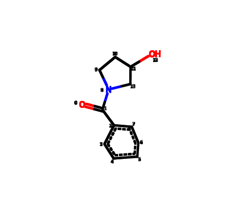 O=C(c1ccccc1)N1CCC(O)C1